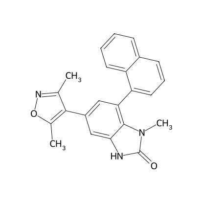 Cc1noc(C)c1-c1cc(-c2cccc3ccccc23)c2c(c1)[nH]c(=O)n2C